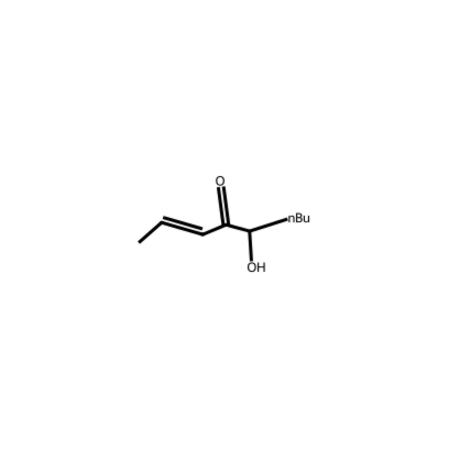 [CH2]CCCC(O)C(=O)C=CC